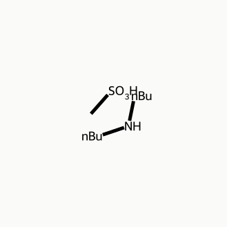 CCCCNCCCC.CS(=O)(=O)O